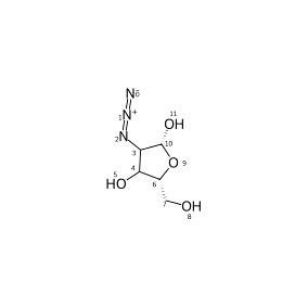 [N-]=[N+]=NC1C(O)[C@@H](CO)O[C@H]1O